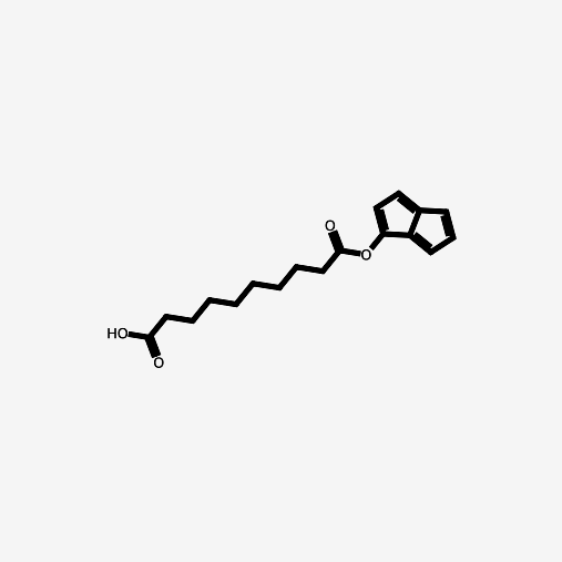 O=C(O)CCCCCCCCC(=O)OC1=CC=C2C=CC=C21